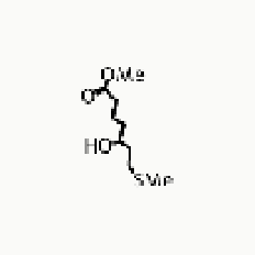 [CH2]SCC[C@@H](O)CCCC(=O)OC